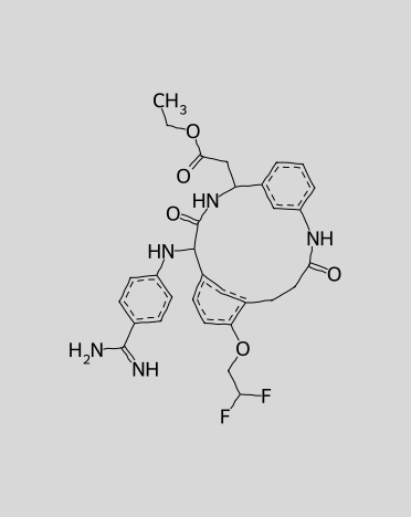 CCOC(=O)CC1NC(=O)C(Nc2ccc(C(=N)N)cc2)c2ccc(OCC(F)F)c(c2)CCC(=O)Nc2cccc1c2